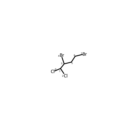 ClC(Cl)C(Br)CCBr